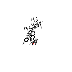 CCCC(C)(O)C(=O)NC(C)[C@@H]1CC[C@@]2(S(=O)(=O)c3ccc(F)cc3)c3ccc(C(F)(C(F)(F)F)C(F)(F)F)cc3CC[C@@H]12